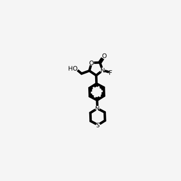 O=C1OC(CO)C(c2ccc(N3CCSCC3)cc2)N1F